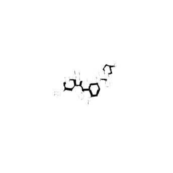 O=C(c1c(F)ccc(NC(=O)N2CCC(F)C2)c1F)c1c[nH]c2ncc(Br)cc12